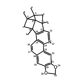 CC12CC3(C)C4(C)CC(C)(c5c1cnc1c5ccc5cc6c(cc51)OCO6)C234